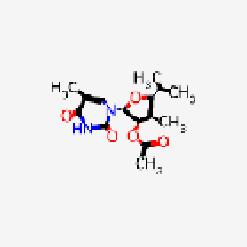 CC(=O)O[C@@H]1[C@H](C)[C@@H](C(C)C)O[C@H]1n1cc(C)c(=O)[nH]c1=O